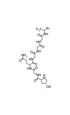 CC(=O)C(C)NC(=O)CNC(=O)CNC(=O)CNC(=O)C(CCC(N)=O)NC(=O)CNC(=O)C1C[C@@H](O)CN1